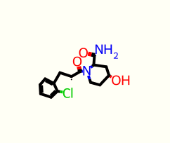 NC(=O)C1CC(O)CCN1C(=O)[CH]Cc1ccccc1Cl